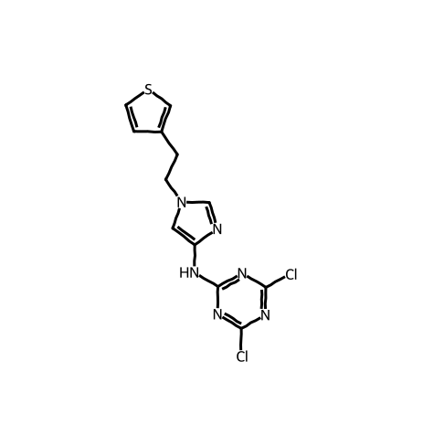 Clc1nc(Cl)nc(Nc2cn(CCc3ccsc3)cn2)n1